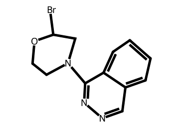 BrC1CN(c2nncc3ccccc23)CCO1